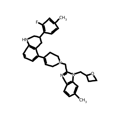 Cc1ccc(C2CNc3cccc(C4=CCN(Cc5nc6ccc(C)cc6n5CC5CCO5)CC4)c3C2)c(F)c1